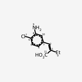 CCC(=Cc1ccc(Cl)c(N)c1)C(=O)O